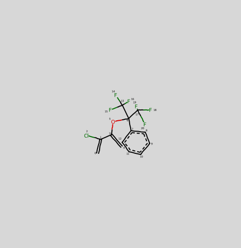 C=C(Cl)C(=C)OC(c1ccccc1)(C(F)(F)F)C(F)(F)F